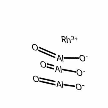 [O]=[Al][O-].[O]=[Al][O-].[O]=[Al][O-].[Rh+3]